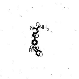 N#C/C(=C\c1ccc(-c2ccc(S(=O)(=O)NC3CCOCC3)cc2)o1)C(N)=O